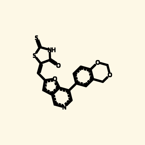 O=C1NC(=S)SC1=Cc1cc2cncc(-c3ccc4c(c3)COCO4)c2o1